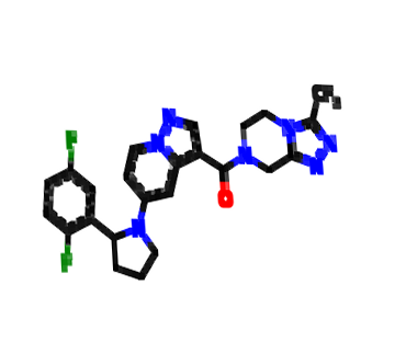 O=C(c1cnn2ccc(N3CCCC3c3cc(F)ccc3F)cc12)N1CCn2c(nnc2C(F)(F)F)C1